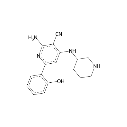 N#Cc1c(NC2CCCNC2)cc(-c2ccccc2O)nc1N